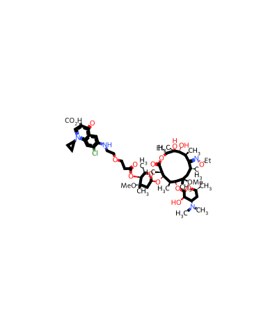 CCO/N=C1\[C@H](C)C[C@@](C)(OC)[C@H](OC2O[C@H](C)C[C@H](N(C)C)[C@H]2O)[C@@H](C)[C@H](O[C@H]2C[C@](C)(OC)[C@@H](OC(=O)CCOCCNc3cc4c(=O)c(C(=O)O)cn(C5CC5)c4cc3Cl)[C@H](C)O2)[C@@H](C)C(=O)O[C@H](CC)[C@@](C)(O)[C@H](O)[C@H]1C